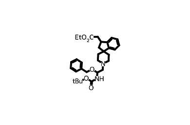 CCOC(=O)CC1CC2(CCN(CC(NC(=O)OC(C)(C)C)OCc3ccccc3)CC2)c2ccccc21